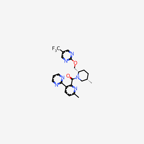 Cc1ccc(-c2ncccn2)c(C(=O)N2C[C@@H](C)CC[C@H]2COc2ncc(C(F)(F)F)cn2)n1